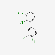 Fc1cc(-c2cccc(Cl)c2Cl)ccc1Cl